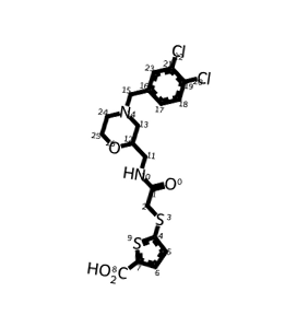 O=C(CSc1ccc(C(=O)O)s1)NCC1CN(Cc2ccc(Cl)c(Cl)c2)CCO1